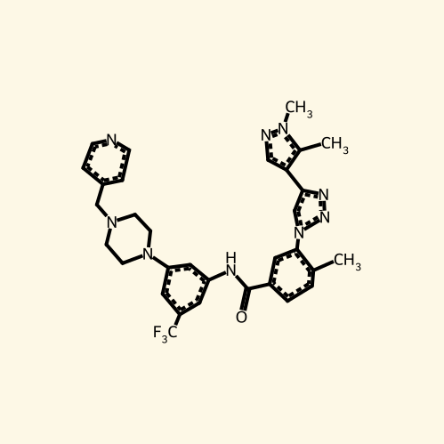 Cc1ccc(C(=O)Nc2cc(N3CCN(Cc4ccncc4)CC3)cc(C(F)(F)F)c2)cc1-n1cc(-c2cnn(C)c2C)nn1